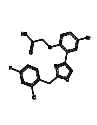 O=C(O)COc1ccc(Br)cc1-c1coc(Cc2ccc(F)cc2Cl)n1